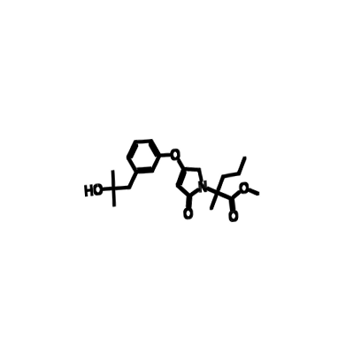 CCCC(C)(C(=O)OC)N1CC(Oc2cccc(CC(C)(C)O)c2)=CC1=O